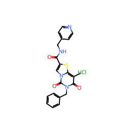 Cc1c(=O)n(Cc2ccccc2)c(=O)n2cc(C(=O)NCc3ccncc3)sc12.Cl